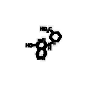 O=C(O)N1CCC[C@@H](Nc2nnc(O)c3ccncc23)C1